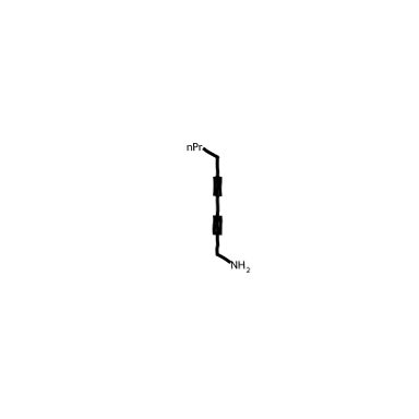 CCCCC#CC#CCN